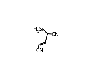 N#CC=CC([SiH3])C#N